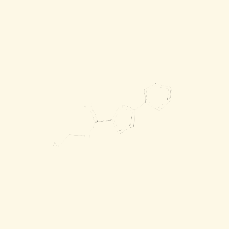 CC(=O)COC(=O)c1ccc(-c2ccccc2)s1